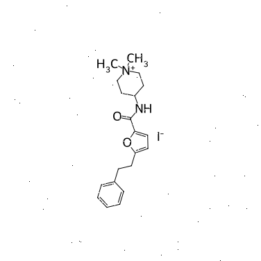 C[N+]1(C)CCC(NC(=O)c2ccc(CCc3ccccc3)o2)CC1.[I-]